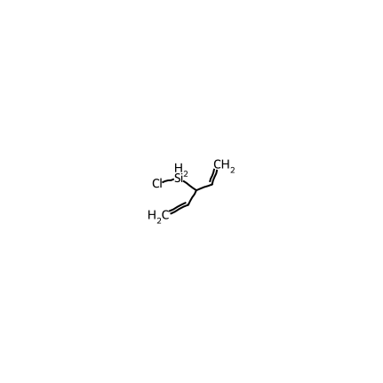 C=CC(C=C)[SiH2]Cl